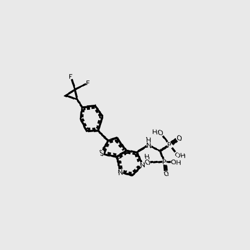 O=P(O)(O)C(Nc1ncnc2sc(-c3ccc(C4CC4(F)F)cc3)cc12)P(=O)(O)O